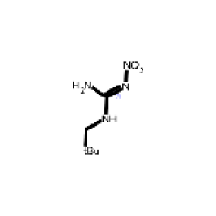 CC(C)(C)CN/C(N)=N/[N+](=O)[O-]